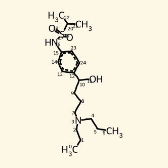 CCCN(CCC)CCCC(O)c1ccc(NS(=O)(=O)C(C)C)cc1